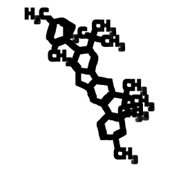 Cc1ccc(-c2cc3c(cc2C(C)(C)C)-c2cc(C(C)(C)C)c(-c4ccc(C)cc4C)cc2C3)c(C)c1